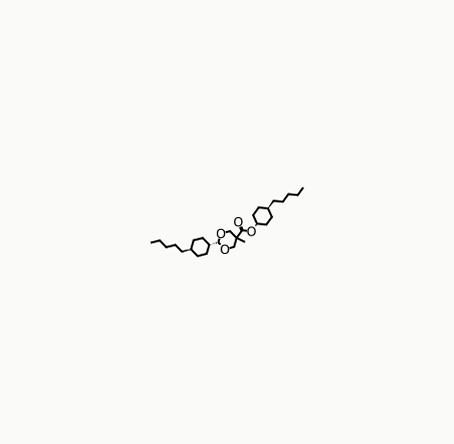 CCCCC[C@H]1CC[C@H](OC(=O)C2(C)COC([C@H]3CC[C@H](CCCCC)CC3)OC2)CC1